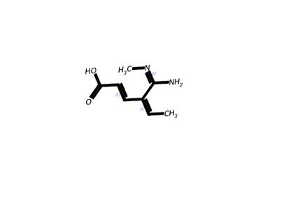 C/C=C(/C=C/C(=O)O)C(\N)=N/C